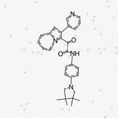 CC1(C)CN(c2ccc(NC(=O)C(=O)c3c(-c4cccnc4)cc4ccccn34)cc2)CC1(C)C